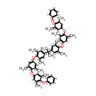 Cc1cc(Oc2c(C)cc(Oc3c(C)cc(C(C)(C)c4cc(C)c(Oc5cc(C)c(Oc6cc(C)c(Oc7ccccc7)c(C)c6)c(C)c5)c(C)c4)cc3C)cc2C)cc(C)c1Oc1ccccc1